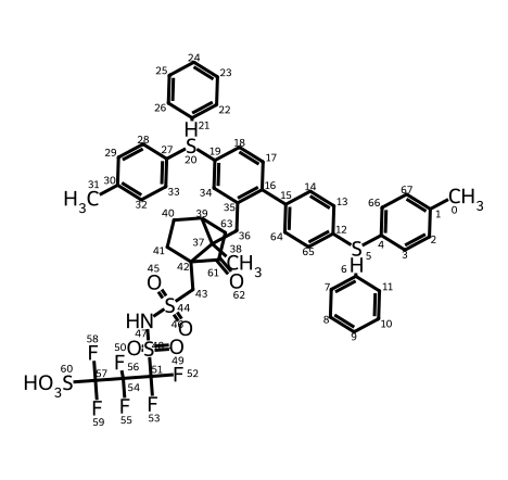 Cc1ccc([SH](c2ccccc2)c2ccc(-c3ccc([SH](c4ccccc4)c4ccc(C)cc4)cc3CC3(C)C4CCC3(CS(=O)(=O)NS(=O)(=O)C(F)(F)C(F)(F)C(F)(F)S(=O)(=O)O)C(=O)C4)cc2)cc1